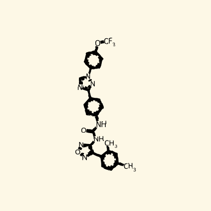 Cc1ccc(-c2nonc2NC(=O)Nc2ccc(-c3ncn(-c4ccc(OC(F)(F)F)cc4)n3)cc2)c(C)c1